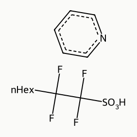 CCCCCCC(F)(F)C(F)(F)S(=O)(=O)O.c1ccncc1